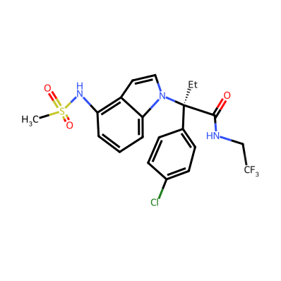 CC[C@](C(=O)NCC(F)(F)F)(c1ccc(Cl)cc1)n1ccc2c(NS(C)(=O)=O)cccc21